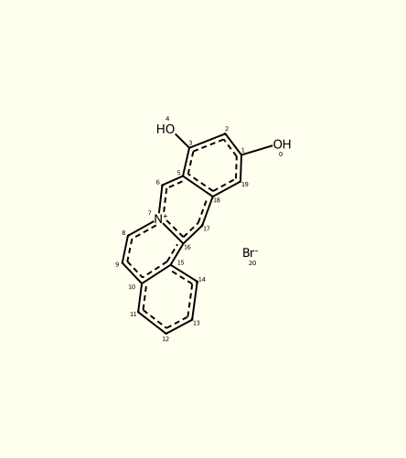 Oc1cc(O)c2c[n+]3ccc4ccccc4c3cc2c1.[Br-]